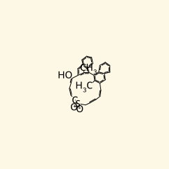 Cc1c2cc3ccccc3c1-c1c(C)c(cc3ccccc13)/C(O)=C\C=C/CS(=O)(=O)C/C=C\C=C/2